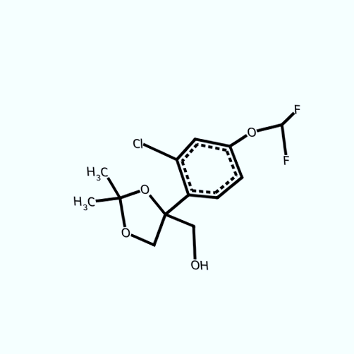 CC1(C)OCC(CO)(c2ccc(OC(F)F)cc2Cl)O1